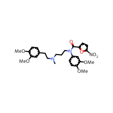 COc1ccc(CCN(C)CCCN(C(=O)c2ccc([N+](=O)[O-])o2)c2ccc(OC)c(OC)c2)cc1OC